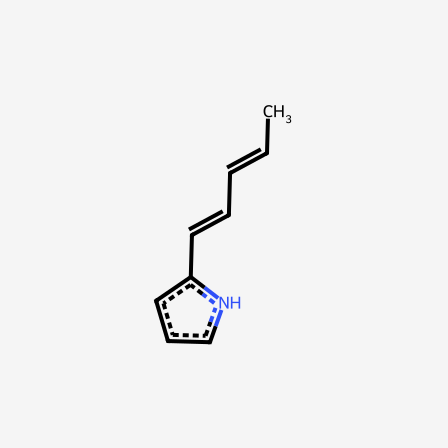 CC=CC=Cc1ccc[nH]1